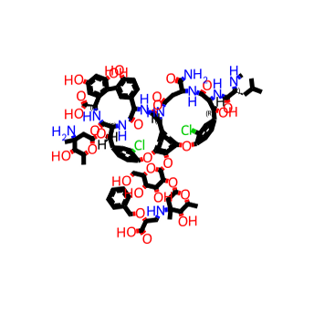 CN[C@H](CC(C)C)C(=O)NC1C(=O)NC(C(N)=O)CC(=O)N[C@H]2C(=O)NC3C(=O)N[C@H](C(=O)N[C@@H](C(=O)O)c4cc(O)cc(O)c4-c4cc3ccc4O)[C@H](OC3CC(C)(N)C(O)C(C)O3)c3ccc(c(Cl)c3)Oc3cc2cc(c3OC2OC(CO)C(O)C(O)C2OC2CC(C)(NCC(OCc3ccccc3)C(=O)O)C(O)C(C)O2)Oc2ccc(cc2Cl)[C@H]1O